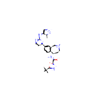 Cc1n[nH]cc1Nc1nccc(-c2ccc3c(c2)CN(C)CC[C@H]3NC(=O)c2nnc(C(C)(C)C)o2)n1